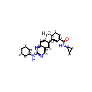 CC1CC=C(C(=O)NC2CC2)C=C1c1ccc2nc(NC3CCCCC3)ncc2c1